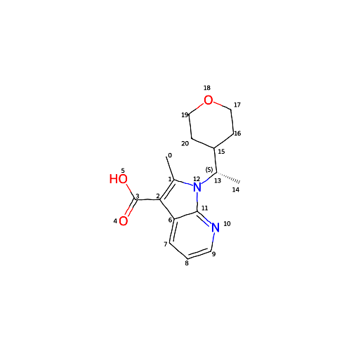 Cc1c(C(=O)O)c2cccnc2n1[C@@H](C)C1CCOCC1